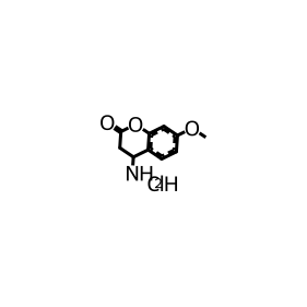 COc1ccc2c(c1)OC(=O)CC2N.Cl